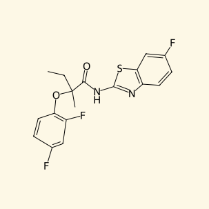 CCC(C)(Oc1ccc(F)cc1F)C(=O)Nc1nc2ccc(F)cc2s1